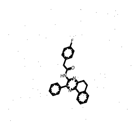 O=C(Cc1ccc(F)cc1)Nc1nc2c(nc1-c1ccccc1)-c1ccccc1CC2